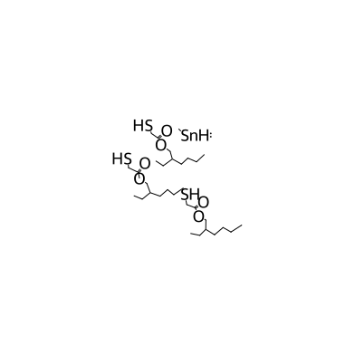 CCCCC(CC)COC(=O)CS.CCCCC(CC)COC(=O)CS.CCCCC(CC)COC(=O)CS.[CH3][SnH]